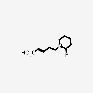 O=C(O)C=CCCN1CCCCC1F